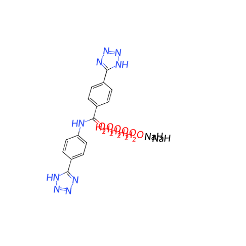 O.O.O.O.O.O=C(Nc1ccc(-c2nnn[nH]2)cc1)c1ccc(-c2nnn[nH]2)cc1.[NaH].[NaH]